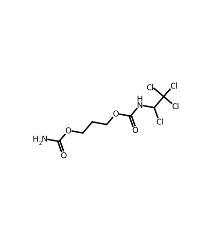 NC(=O)OCCCOC(=O)NC(Cl)C(Cl)(Cl)Cl